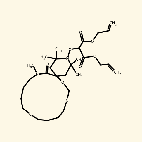 C=CCOC(=O)C(ON1C(C)(C)CC2(CC1(C)C)OCCCCCCCCCCCN(C)C2=O)C(=O)OCC=C